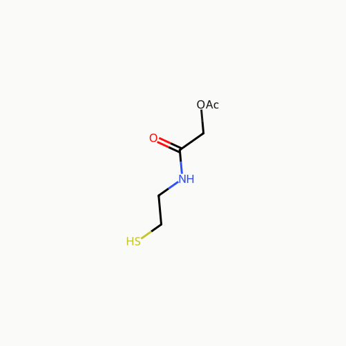 CC(=O)OCC(=O)NCCS